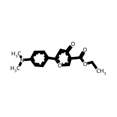 CCOC(=O)c1coc(-c2ccc(N(C)C)cc2)cc1=O